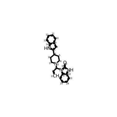 C=CC(N1CCC(c2cc3ccccc3[nH]2)CC1)n1c(=O)[nH]c2ccccc21